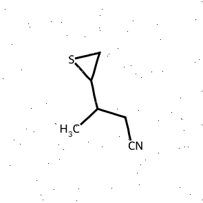 CC(CC#N)C1CS1